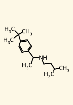 CC(C)CCNC(C)c1ccc(C(C)(C)C)cc1